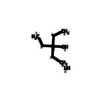 CC[Si](O)(CC)CC.[LiH]